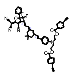 C#Cc1ccc(C(=O)OCCN(CCOC(=O)c2ccc(C#C)cc2)c2ccc(/C=C/C3=CC(=C/C=C/C4=C(C#N)C(=C(C#N)C#N)OC4(c4ccccc4)C(F)(F)F)/CC(C)(C)C3)cc2)cc1